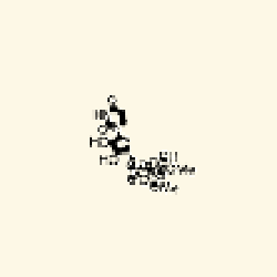 COP(=O)(O)OP(=O)(OC)OP(=O)(OC)OC[C@H]1S[C@@H](n2ccc(=O)[nH]c2=O)[C@H](O)[C@@H]1O